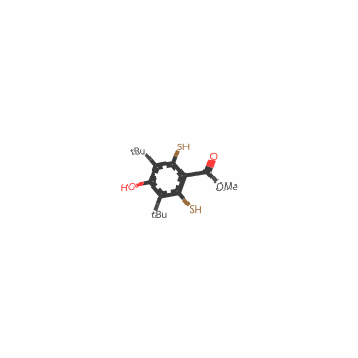 COC(=O)c1c(S)c(C(C)(C)C)c(O)c(C(C)(C)C)c1S